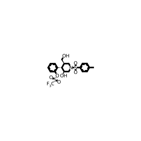 Cc1ccc(S(=O)(=O)N2C[C@H](CO)[C@@H](c3ccccc3OS(=O)(=O)C(F)(F)F)[C@H](O)C2)cc1